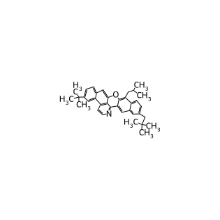 CC(C)Cc1c2c(cc3cc(CC(C)(C)C)ccc13)-c1nccc3c1c(cc1ccc(C(C)(C)C)cc13)O2